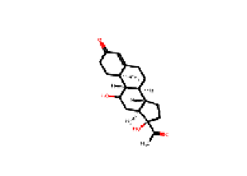 CC(=O)[C@@]1(O)CC[C@H]2[C@@H]3CCC4=CC(=O)CC[C@]4(C)[C@H]3C(O)C[C@@]21C